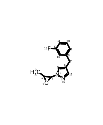 CC1OC1n1cc(Cc2cccc(F)c2)cn1